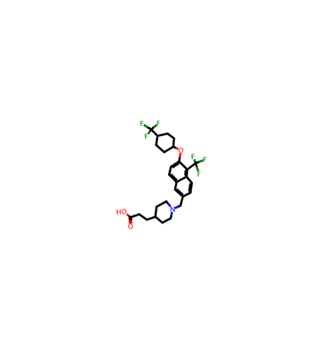 O=C(O)CCC1CCN(Cc2ccc3c(C(F)(F)F)c(OC4CCC(C(F)(F)F)CC4)ccc3c2)CC1